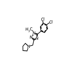 Cn1nc(CN2CCCC2)nc1-c1ccc(Cl)c(Cl)c1